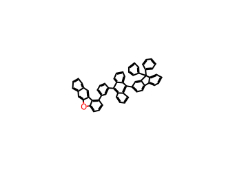 c1ccc(C2(c3ccccc3)c3ccccc3-c3ccc(-c4c5ccccc5c(-c5cccc(-c6cccc7oc8cc9ccccc9cc8c67)c5)c5ccccc45)cc32)cc1